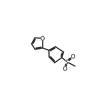 CS(=O)(=O)c1ccc(-c2ccco2)cc1